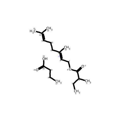 CCC(C)C(=O)OC/C=C(\C)CCC=C(C)C.CCCC(=O)O